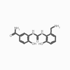 NCc1cccc(O)c1NC(=O)Nc1cc(C(N)=O)ccc1O